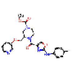 Cc1ccc(Nc2nc(C(=O)N3CCN(C(=O)OC(C)(C)C)CC3COc3cccnc3)co2)cc1